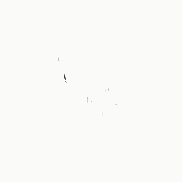 CC(C)(C)N1CCC[C@@H](C#N)C1